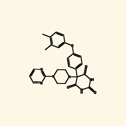 Cc1ccc(Oc2ccc(C3(N4CCN(c5ncccn5)CC4)C(=O)NC(=O)NC3=O)cc2)cc1C